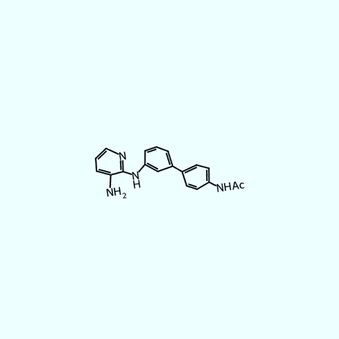 CC(=O)Nc1ccc(-c2cccc(Nc3ncccc3N)c2)cc1